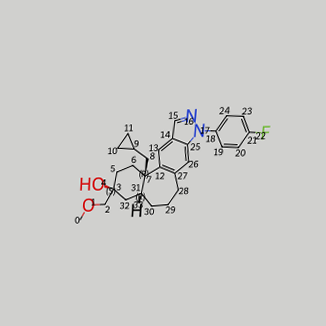 COC[C@]1(O)CC[C@]2(CC3CC3)c3cc4cnn(-c5ccc(F)cc5)c4cc3CCC[C@@H]2C1